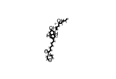 CCCC[C@](C)(O)C/C=C/[C@@H]1[C@H]2CC(CCCCCC(=O)N3CCOCC3)=C[C@H]2C[C@H]1O